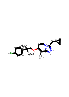 COC(C)(COc1ccn2c(CC3CC3)nnc2c1C(F)(F)F)c1ccc(F)cc1